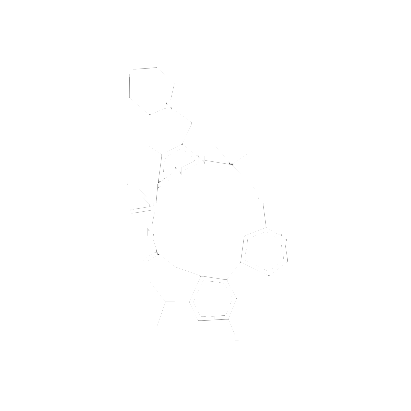 CC(C)c1cc(F)cc2c1CC(=O)NS(=O)(=O)c1nn(c(CN3CCOCC3)c1F)C(C)(C)COc1cc-2ccn1